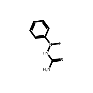 NC(=S)NN(F)c1ccccc1